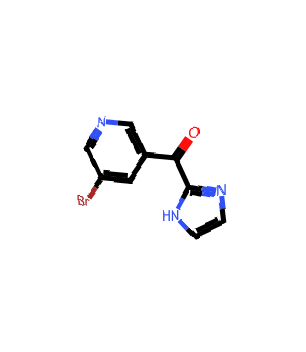 O=C(c1cncc(Br)c1)c1ncc[nH]1